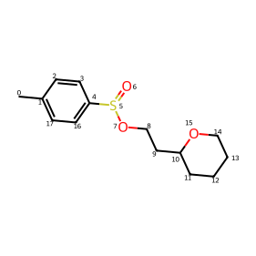 Cc1ccc(S(=O)OCCC2CCCCO2)cc1